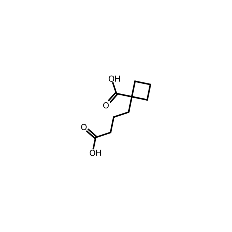 O=C(O)CCCC1(C(=O)O)CCC1